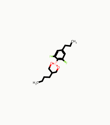 CCCCC1COB(c2c(F)cc(CCC)cc2F)OC1